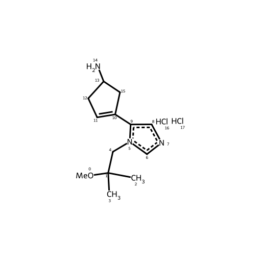 COC(C)(C)Cn1cncc1C1=CCC(N)C1.Cl.Cl